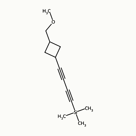 COCC1CC(C#CC#C[Si](C)(C)C)C1